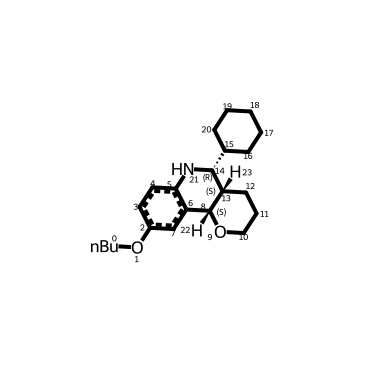 CCCCOc1ccc2c(c1)[C@H]1OCCC[C@H]1[C@@H](C1CCCCC1)N2